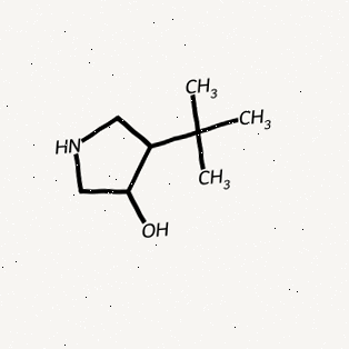 CC(C)(C)C1CNCC1O